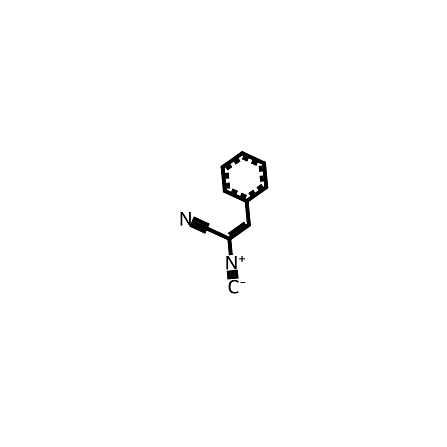 [C-]#[N+]/C(C#N)=C/c1ccccc1